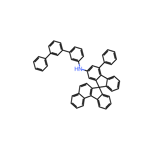 c1ccc(-c2cccc(-c3cccc(Nc4cc(-c5ccccc5)c5c(c4)C4(c6ccccc6-5)c5ccccc5-c5c4ccc4ccccc54)c3)c2)cc1